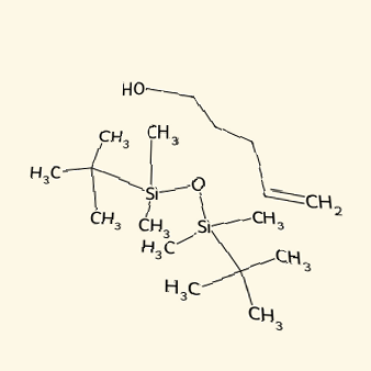 C=CCCCO.CC(C)(C)[Si](C)(C)O[Si](C)(C)C(C)(C)C